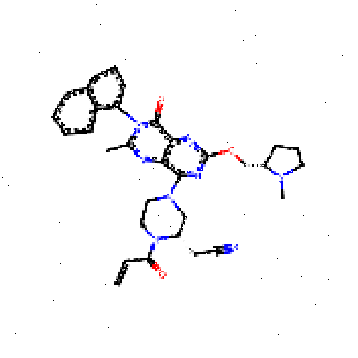 C=CC(=O)N1CCN(c2nc(OC[C@@H]3CCCN3C)nc3c(=O)n(-c4cccc5ccccc45)c(C)nc23)C[C@@H]1CC#N